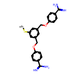 CCCSc1cc(COc2ccc(C(=N)N)cc2)cc(COc2ccc(C(=N)N)cc2)c1